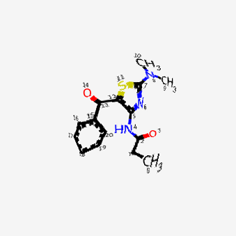 C[CH]C(=O)Nc1nc(N(C)C)sc1C(=O)c1ccccc1